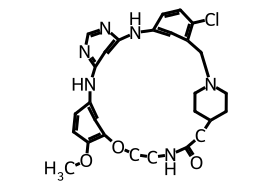 COc1ccc2cc1OCCNC(=O)CC1CCN(CC1)Cc1cc(ccc1Cl)Nc1cc(ncn1)N2